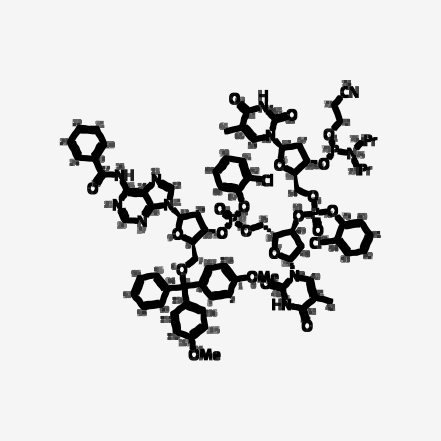 COc1ccc(C(OC[C@H]2O[C@@H](n3cnc4c(NC(=O)c5ccccc5)ncnc43)C[C@@H]2OP(=O)(OC[C@H]2O[C@@H](n3cc(C)c(=O)[nH]c3=O)C[C@@H]2OP(=O)(OC[C@H]2O[C@@H](n3cc(C)c(=O)[nH]c3=O)C[C@@H]2OP(OCCC#N)N(C(C)C)C(C)C)Oc2ccccc2Cl)Oc2ccccc2Cl)(c2ccccc2)c2ccc(OC)cc2)cc1